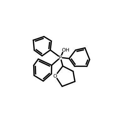 OP(c1ccccc1)(c1ccccc1)(c1ccccc1)C1CCCO1